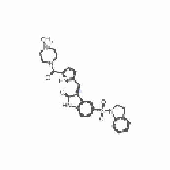 CN1CCN(C(=O)c2ccc(/C=C3\C(=O)Nc4ccc(S(=O)(=O)N5CCc6ccccc65)cc43)[nH]2)CC1